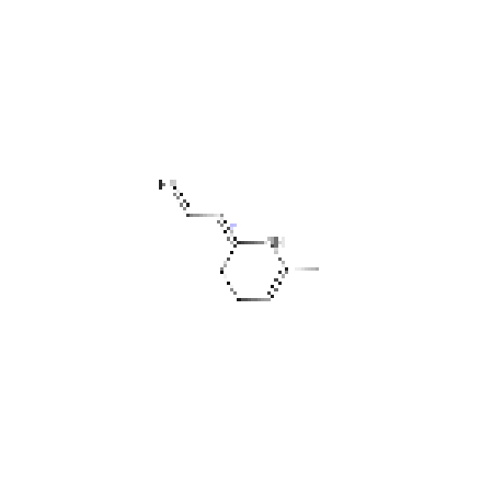 CC1=CCC/C(=C\C=N)N1